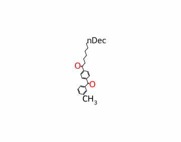 CCCCCCCCCCCCCCCCC(=O)c1ccc(C(=O)c2cccc(C)c2)cc1